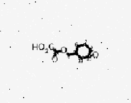 O=C(O)C(=O)OCC1CCC2OC2C1